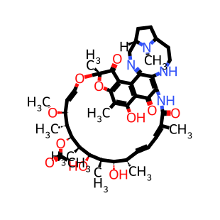 CO[C@H]1/C=C/O[C@@]2(C)Oc3c(C)c(O)c4c(c3C2=O)/C2=N/C[C@@H]3CCC(CCNC2=C(NC(=O)/C(C)=C\C=C\[C@H](C)[C@H](O)[C@@H](C)[C@@H](O)[C@@H](C)[C@H](OC(C)=O)[C@@H]1C)C4=O)N3C